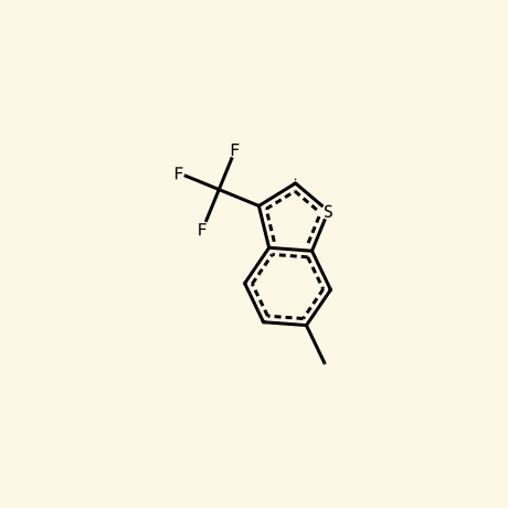 Cc1ccc2c(C(F)(F)F)[c]sc2c1